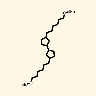 CC(C)(C)OCCCCCCC1CCC(C2CCC(CCCCCCOC(C)(C)C)C2)C1